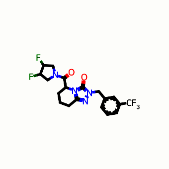 O=C(C1CCCc2nn(Cc3cccc(C(F)(F)F)c3)c(=O)n21)N1CC(F)C(F)C1